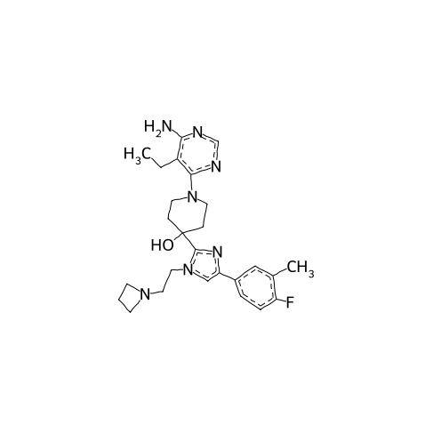 CCc1c(N)ncnc1N1CCC(O)(c2nc(-c3ccc(F)c(C)c3)cn2CCN2CCC2)CC1